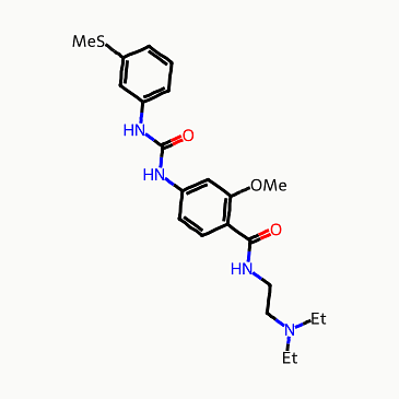 CCN(CC)CCNC(=O)c1ccc(NC(=O)Nc2cccc(SC)c2)cc1OC